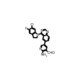 Nc1ncc(-c2ccc3ncnc(N4CCc5cc(F)c(Cl)cc54)c3c2)cc1C=O